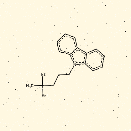 CCC(C)(CC)CCCn1c2ccccc2c2ccccc21